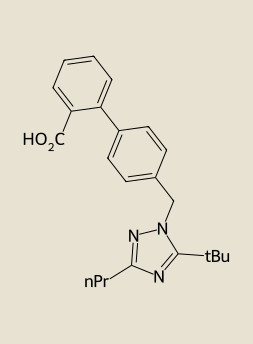 CCCc1nc(C(C)(C)C)n(Cc2ccc(-c3ccccc3C(=O)O)cc2)n1